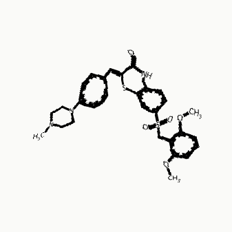 COc1cccc(OC)c1CS(=O)(=O)c1ccc2c(c1)SC(=Cc1ccc(N3CCN(C)CC3)cc1)C(=O)N2